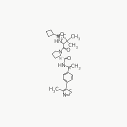 Cc1ncsc1-c1ccc([C@H](C)NC(=O)[C@@H]2CCCN2C(=O)C(NC(=O)C2CCC2)C(C)(C)C)cc1